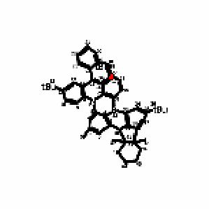 Cc1cc2c3c(c1)N(c1ccc(C(C)(C)C)cc1-c1cccc4ccccc14)c1cc(C(C)(C)C)ccc1B3c1cc(C(C)(C)C)cc3c1C2C1(C)CCCCC31C